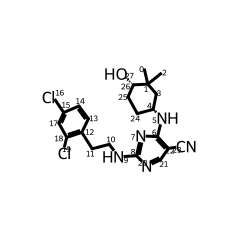 CC1(C)C[C@H](Nc2nc(NCCc3ccc(Cl)cc3Cl)ncc2C#N)CC[C@@H]1O